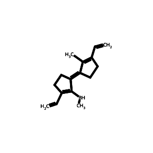 C=CC1=C(C)/C(=C2\CCC(C=C)=C2BC)CC1